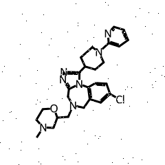 CN1CCOC(CN2Cc3cc(Cl)ccc3-n3c(nnc3C3CCN(c4ccccn4)CC3)C2)C1